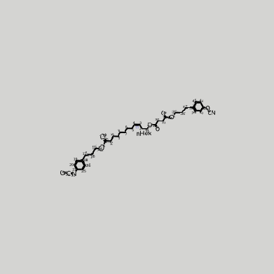 CCCCCC[C@H](C/C=C\CCCCCCCC(=O)OCCCc1ccc(N=C=O)cc1)OC(=O)CCC(=O)OCCCc1ccc(OC#N)cc1